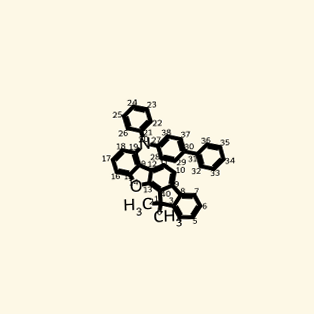 CC1(C)c2ccccc2-c2ccc3c(oc4cccc(N(c5ccccc5)c5ccc(-c6ccccc6)cc5)c43)c21